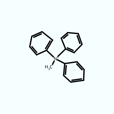 C[N+](c1ccccc1)(c1ccccc1)c1ccccc1